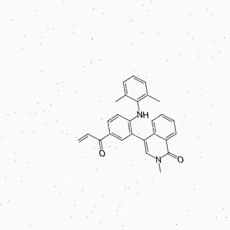 C=CC(=O)c1ccc(Nc2c(C)cccc2C)c(-c2cn(C)c(=O)c3ccccc23)c1